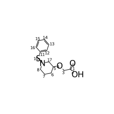 O=C(O)COC1CCCN(Sc2ccccc2)C1